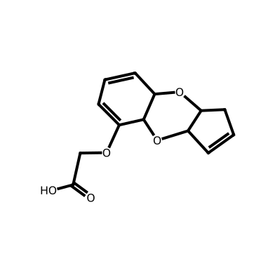 O=C(O)COC1=CC=CC2OC3CC=CC3OC12